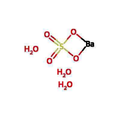 O.O.O.O=S1(=O)[O][Ba][O]1